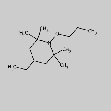 CCCON1C(C)(C)CC(CC)CC1(C)C